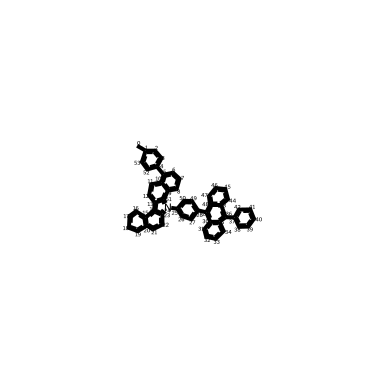 Cc1ccc(-c2cccc3c2ccc2c4c5ccccc5ccc4n(-c4ccc(-c5c6ccccc6c(-c6ccccc6)c6ccccc56)cc4)c32)cc1